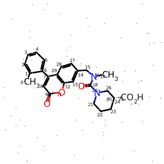 Cc1ccccc1-c1cc(=O)oc2cc(CN(C)C(=O)N3CCC[C@@H](C(=O)O)C3)ccc12